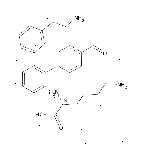 NCCCC[C@@H](N)C(=O)O.NCCc1ccccc1.O=Cc1ccc(-c2ccccc2)cc1